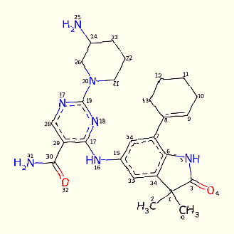 CC1(C)C(=O)Nc2c(C3=CCCCC3)cc(Nc3nc(N4CCCC(N)C4)ncc3C(N)=O)cc21